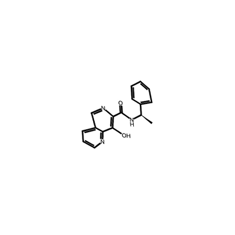 C[C@@H](NC(=O)c1ncc2cccnc2c1O)c1ccccc1